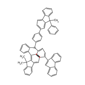 CC1(C)c2ccccc2-c2cccc(-c3ccccc3N(c3ccc(-c4ccc5c(c4)C(C)(c4ccccc4)c4ccccc4-5)cc3)c3ccc(-c4cc5ccccc5c5ccccc45)cc3)c21